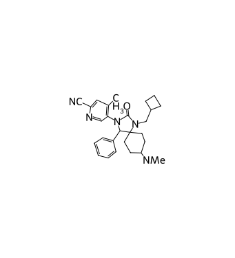 CNC1CCC2(CC1)C(c1ccccc1)N(c1cnc(C#N)cc1C)C(=O)N2CC1CCC1